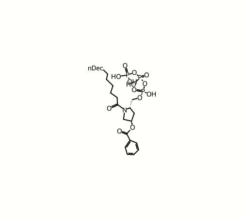 CCCCCCCCCCCCCCCC(=O)N1C[C@H](OC(=O)c2ccccc2)C[C@H]1COP(=O)(O)OP(=O)(O)OP(=O)(O)O